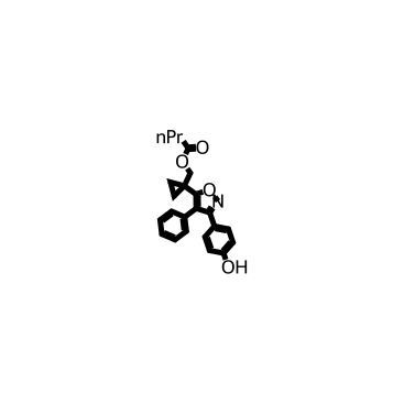 CCCC(=O)OCC1(c2onc(-c3ccc(O)cc3)c2-c2ccccc2)CC1